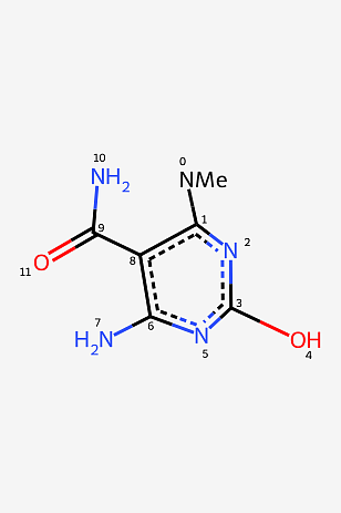 CNc1nc(O)nc(N)c1C(N)=O